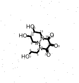 O=c1c(=O)n(CCO)n(CCO)n(CCO)c1=O